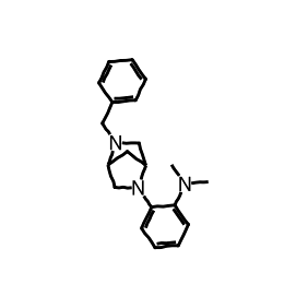 CN(C)c1ccccc1N1CC2CC1CN2Cc1ccccc1